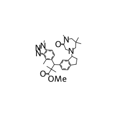 COC(=O)C(C)(C)C(c1ccc2c(c1)C(N1CC(=O)N(C)CC(C)(C)C1)CC2)c1ccc2c(nnn2C)c1C